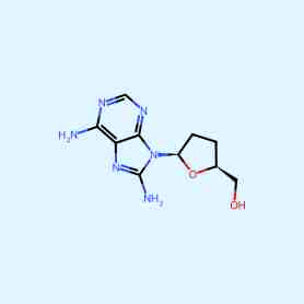 Nc1ncnc2c1nc(N)n2[C@H]1CC[C@@H](CO)O1